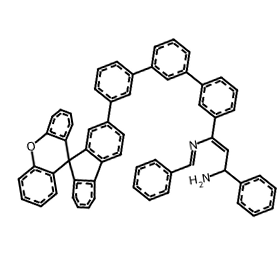 NC(/C=C(\N=C\c1ccccc1)c1cccc(-c2cccc(-c3cccc(-c4ccc5c(c4)C4(c6ccccc6Oc6ccccc64)c4ccccc4-5)c3)c2)c1)c1ccccc1